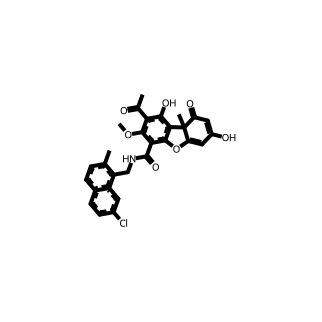 COc1c(C(C)=O)c(O)c2c(c1C(=O)NCc1c(C)ccc3ccc(Cl)cc13)OC1=CC(O)=CC(=O)C12C